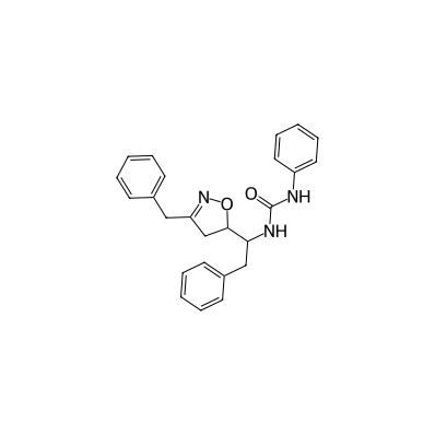 O=C(Nc1ccccc1)NC(Cc1ccccc1)C1CC(Cc2ccccc2)=NO1